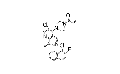 C=CC(=O)N1CCN(c2c(Cl)cnc3c(F)c(-c4cccc5ccc(F)c(Cl)c45)ncc23)CC1